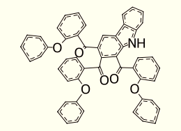 O=C(c1ccccc1Oc1ccccc1)c1cc2c([nH]c3ccccc32)c(C(=O)c2ccccc2Oc2ccccc2)c1C(=O)c1ccccc1Oc1ccccc1